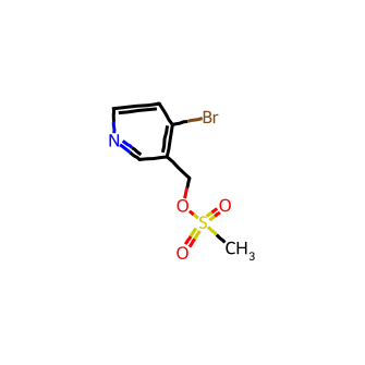 CS(=O)(=O)OCc1cnccc1Br